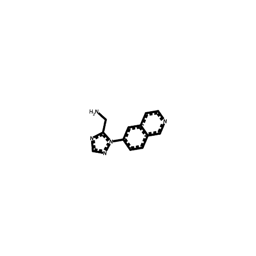 NCc1ncnn1-c1ccc2cnccc2c1